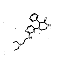 CCN(CC)CCNc1nccc(N2CCNC(=O)C2c2ccccc2)n1